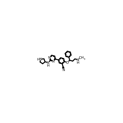 CNCCC(Oc1ccc(-c2ccnc(NC3CCNC3)n2)cc1C#N)c1ccccc1